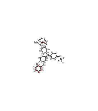 C=C1/C=C\C=C/C2c3ccccc3C1c1cc3c4cc5c(cc4n(-c4ccc(CC(C)(C)C)cc4)c3cc12)C1c2ccccc2C5c2ccccc21